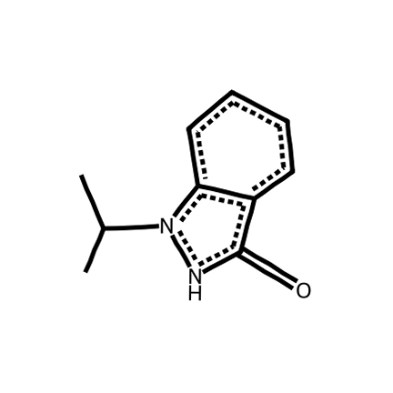 CC(C)n1[nH]c(=O)c2ccccc21